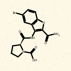 NC(=O)c1oc2ccc(Br)cc2c1NC(=O)[C@@H]1CCCN1C(=O)O